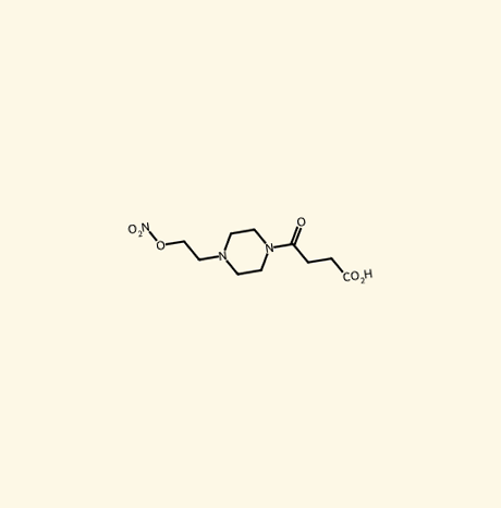 O=C(O)CCC(=O)N1CCN(CCO[N+](=O)[O-])CC1